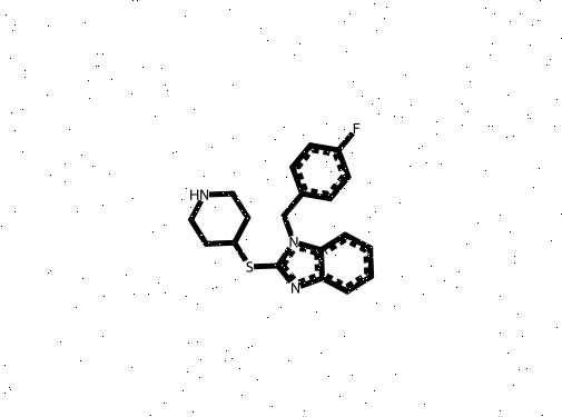 Fc1ccc(Cn2c(SC3CCNCC3)nc3ccccc32)cc1